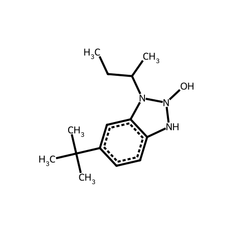 CCC(C)N1c2cc(C(C)(C)C)ccc2NN1O